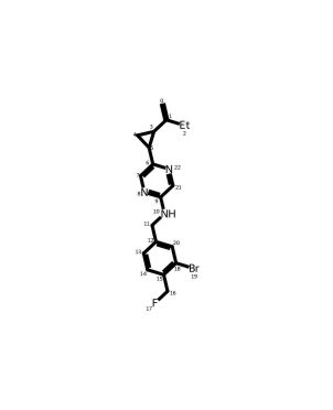 C=C(CC)C1CC1c1cnc(NCc2ccc(CF)c(Br)c2)cn1